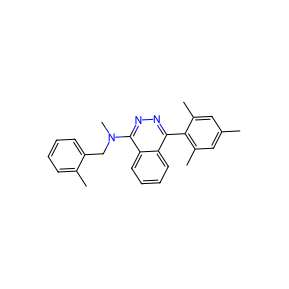 Cc1cc(C)c(-c2nnc(N(C)Cc3ccccc3C)c3ccccc23)c(C)c1